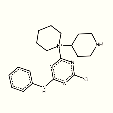 Clc1nc(Nc2ccccc2)nc([N+]2(C3CCNCC3)CCCCC2)n1